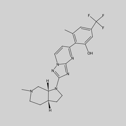 Cc1cc(C(F)(F)F)cc(O)c1-c1ccn2nc(N3CC[C@@H]4CCN(C)C[C@@H]43)nc2n1